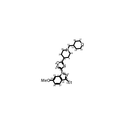 CCc1nn(-c2noc(C3CCN(CC4CCOCC4)CC3)n2)c2cc(OC)ccc12